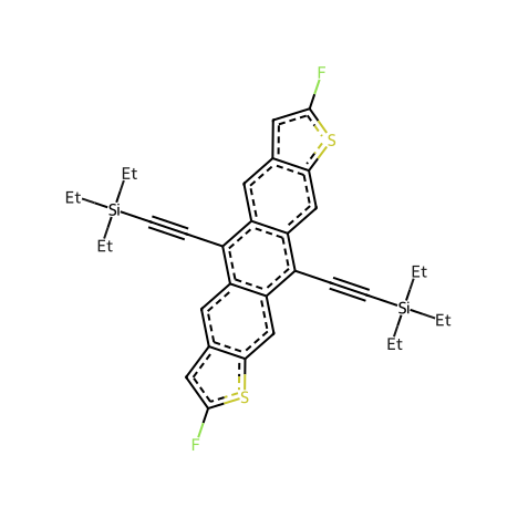 CC[Si](C#Cc1c2cc3cc(F)sc3cc2c(C#C[Si](CC)(CC)CC)c2cc3sc(F)cc3cc12)(CC)CC